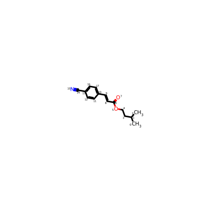 CC(C)CCOC(=O)C=Cc1ccc(C#N)cc1